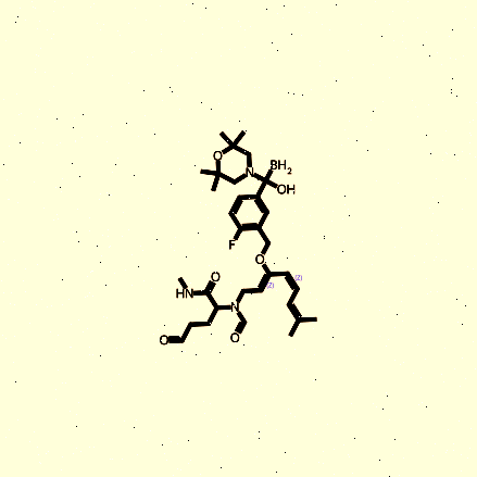 BC(O)(c1ccc(F)c(COC(/C=C\C=C(C)C)=C\CN(C=O)C(CCC=O)C(=O)NC)c1)N1CC(C)(C)OC(C)(C)C1